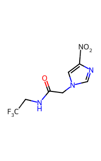 O=C(Cn1cnc([N+](=O)[O-])c1)NCC(F)(F)F